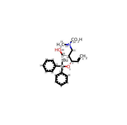 C=C[C@H](O[Si](c1ccccc1)(c1ccccc1)C(C)(C)C)[C@H](CO)CN(C)C(=O)O